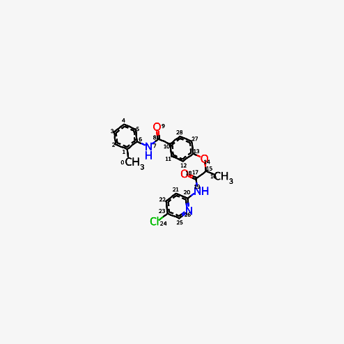 Cc1ccccc1NC(=O)c1ccc(OC(C)C(=O)Nc2ccc(Cl)cn2)cc1